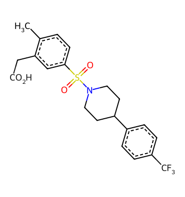 Cc1ccc(S(=O)(=O)N2CCC(c3ccc(C(F)(F)F)cc3)CC2)cc1CC(=O)O